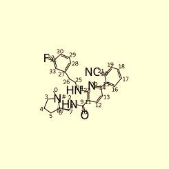 C[N+]1(C)CCC[C@@H]1CNC(=O)c1ccc(-c2ccccc2C#N)nc1NCCc1cccc(F)c1